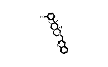 C[C@H]1CN2CCN(Cc3cnc4ccccc4c3)C[C@H]2C[C@@]1(C)c1cccc(O)c1